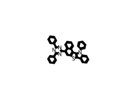 c1ccc(-c2nc(-c3ccccc3)nc(-c3cc4sc5c6ccccc6n(-c6ccccc6)c5c4c4ccccc34)n2)cc1